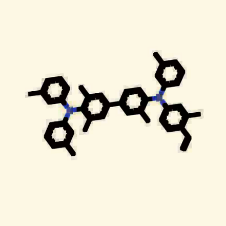 C=Cc1ccc(N(c2cccc(C)c2)c2ccc(-c3cc(C)c(N(c4cccc(C)c4)c4cccc(C)c4)c(C)c3)cc2C)cc1C